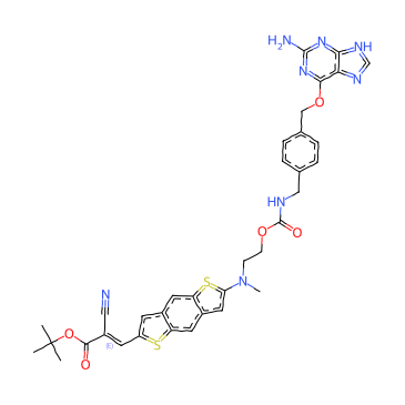 CN(CCOC(=O)NCc1ccc(COc2nc(N)nc3[nH]cnc23)cc1)c1cc2cc3sc(/C=C(\C#N)C(=O)OC(C)(C)C)cc3cc2s1